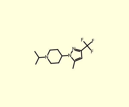 Cc1cc(C(F)(F)F)nn1C1CCN(C(C)C)CC1